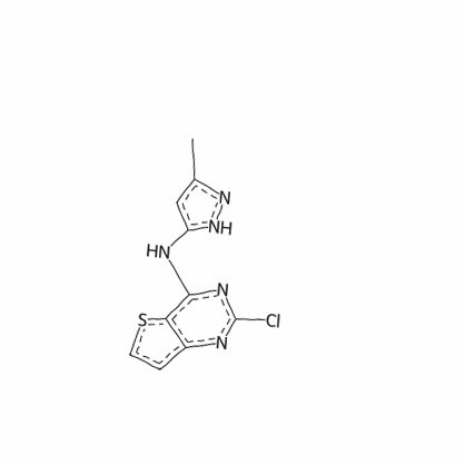 Cc1cc(Nc2nc(Cl)nc3ccsc23)[nH]n1